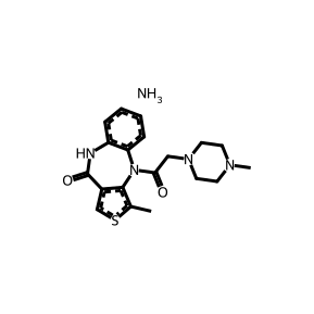 Cc1scc2c1N(C(=O)CN1CCN(C)CC1)c1ccccc1NC2=O.N